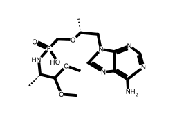 COC(OC)[C@H](C)NP(=O)(O)CO[C@H](C)Cn1cnc2c(N)ncnc21